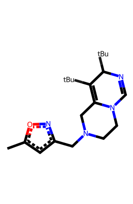 Cc1cc(CN2CCN3C=NC(C(C)(C)C)C(C(C)(C)C)=C3C2)no1